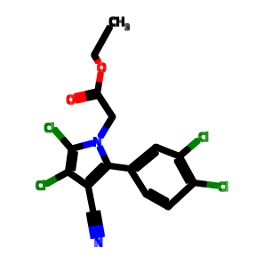 CCOC(=O)Cn1c(Cl)c(Cl)c(C#N)c1-c1ccc(Cl)c(Cl)c1